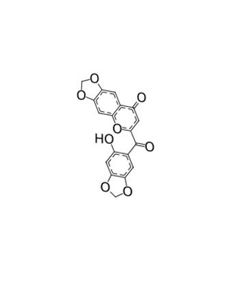 O=C(c1cc(=O)c2cc3c(cc2o1)OCO3)c1cc2c(cc1O)OCO2